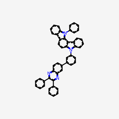 c1ccc(-c2nc3ccc(-c4cccc(-n5c6ccccc6c6c5ccc5c7ccccc7n(-c7ccccc7)c56)c4)cc3nc2-c2ccccc2)cc1